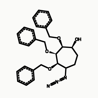 [N-]=[N+]=NC1CC[C@H](O)[C@H](OCc2ccccc2)[C@@H](OCc2ccccc2)[C@@H]1OCc1ccccc1